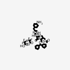 CC(=O)OCC1=C(C(=O)OC(c2ccccc2)c2ccccc2)N2C(=O)C(Nc3nc(Cc4ccc(N)cc4)c[nH]3)[C@@H]2SC1.O=C(O)C(F)(F)F.O=C(O)C(F)(F)F